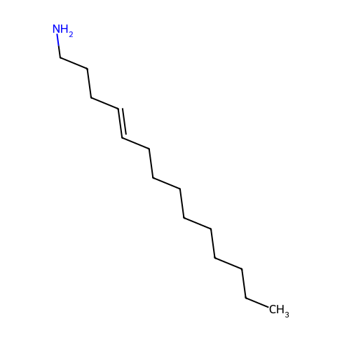 CCCCCCCCCC=CCCCN